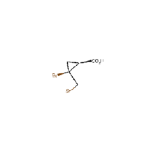 O=C(O)[C@@H]1C[C@@]1(Br)CBr